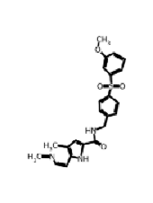 C=N/C=C\c1[nH]c(C(=O)NCc2ccc(S(=O)(=O)c3cccc(OC)c3)cc2)cc1C